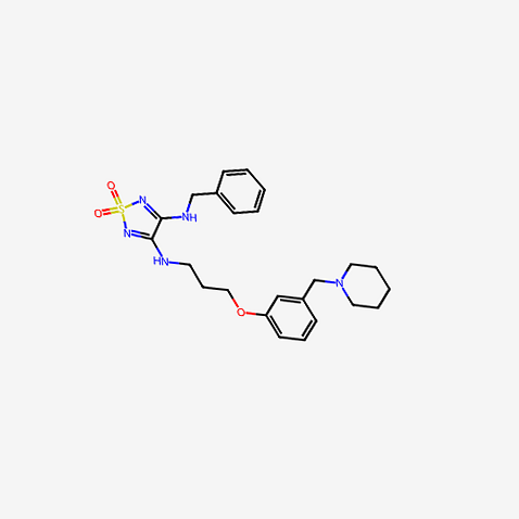 O=S1(=O)N=C(NCCCOc2cccc(CN3CCCCC3)c2)C(NCc2ccccc2)=N1